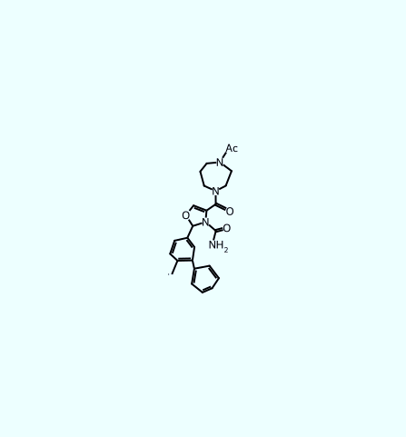 [CH2]c1ccc(C2OC=C(C(=O)N3CCCN(C(C)=O)CC3)N2C(N)=O)cc1-c1ccccc1